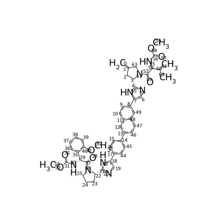 C=C1C[C@@H](c2ncc(-c3ccc4cc(-c5ccc(-c6cnc([C@@H]7CCCN7C(=O)[C@H](NC(=O)OC)c7ccccc7OC)[nH]6)cc5)ccc4c3)[nH]2)N(C(=O)[C@@H](NC(=O)OC)C(C)C)C1